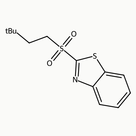 CC(C)(C)CCS(=O)(=O)c1nc2ccccc2s1